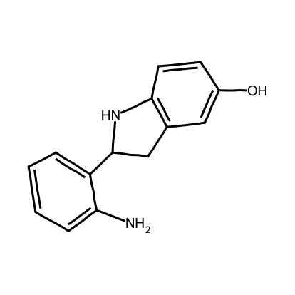 Nc1ccccc1C1Cc2cc(O)ccc2N1